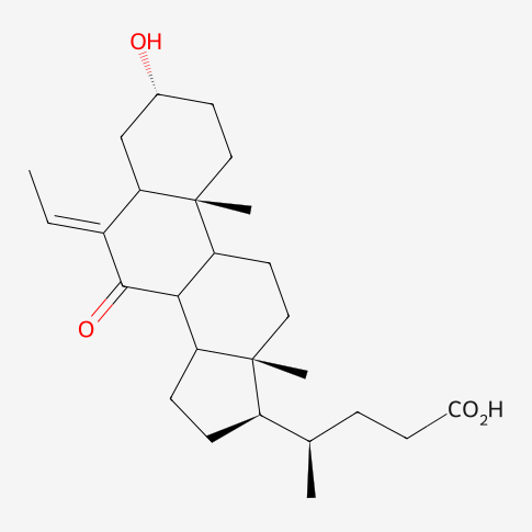 C/C=C1/C(=O)C2C(CC[C@@]3(C)C2CC[C@@H]3[C@H](C)CCC(=O)O)[C@@]2(C)CC[C@@H](O)CC12